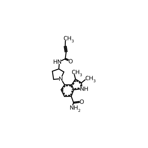 CC#CC(=O)NC1CCN(c2ccc(C(N)=O)c3[nH]c(C)c(C)c23)C1